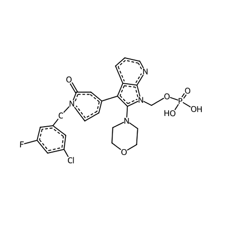 O=c1cc(-c2c(N3CCOCC3)n(COP(=O)(O)O)c3ncccc23)ccn1Cc1cc(F)cc(Cl)c1